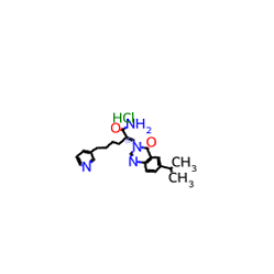 CC(C)c1ccc2ncn(/C=C(\CCCCc3cccnc3)C(N)=O)c(=O)c2c1.Cl